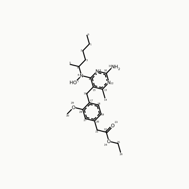 CCCCC(C)N(O)c1nc(N)nc(C)c1Cc1ccc(CC(=O)OCC)cc1OC